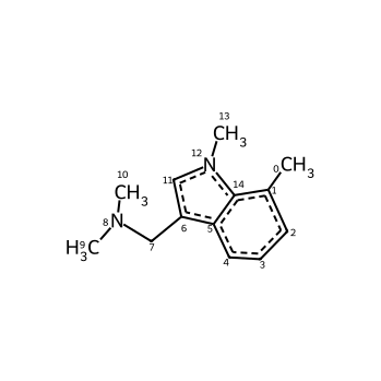 Cc1cccc2c(CN(C)C)cn(C)c12